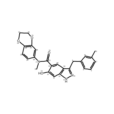 Cc1cccc(Cc2n[nH]c3cc(O)c(C(=O)N(C)c4ccc5c(c4)OCCO5)cc23)c1